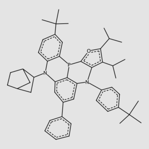 CC(C)c1oc2c(c1C(C)C)N(c1ccc(C(C)(C)C)cc1)c1cc(-c3ccccc3)cc3c1P2c1cc(C(C)(C)C)ccc1N3C1CC2CCC1C2